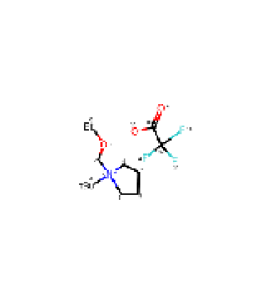 CCOC[N+]1(C(C)(C)C)CCCC1.O=C([O-])C(F)(F)F